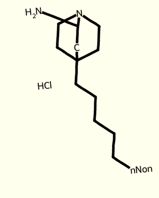 CCCCCCCCCCCCCCC12CCN(CC1)C(N)C2.Cl